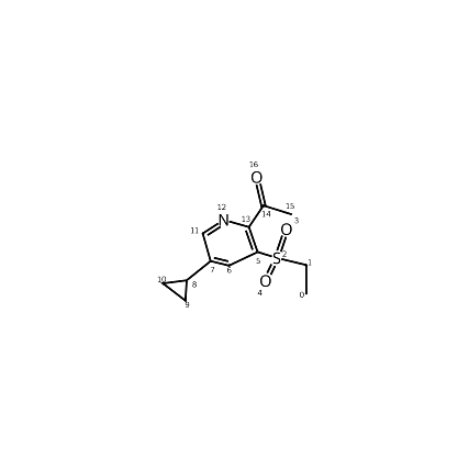 CCS(=O)(=O)c1cc(C2CC2)cnc1C(C)=O